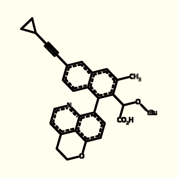 Cc1cc2cc(C#CC3CC3)ccc2c(-c2ccc3c4c(ccnc24)CCO3)c1C(OC(C)(C)C)C(=O)O